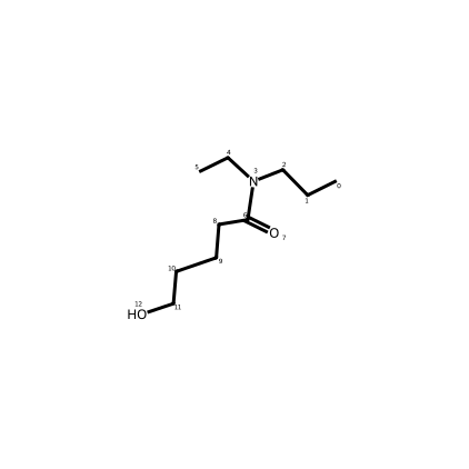 CCCN(CC)C(=O)CCCCO